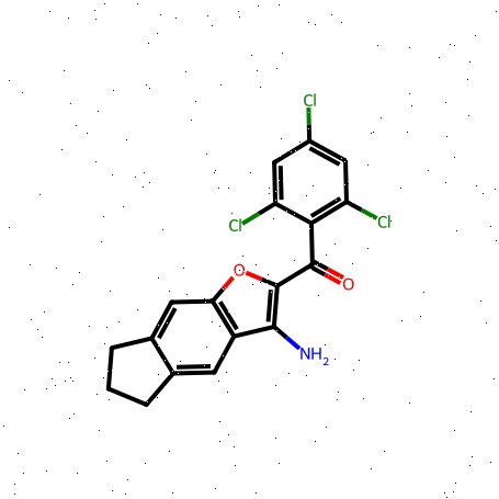 Nc1c(C(=O)c2c(Cl)cc(Cl)cc2Cl)oc2cc3c(cc12)CCC3